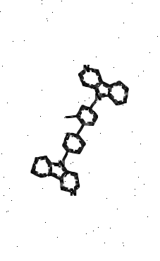 Cc1cc(-n2c3ccccc3c3cnccc32)ccc1-c1ccc(-n2c3ccccc3c3cnccc32)cc1